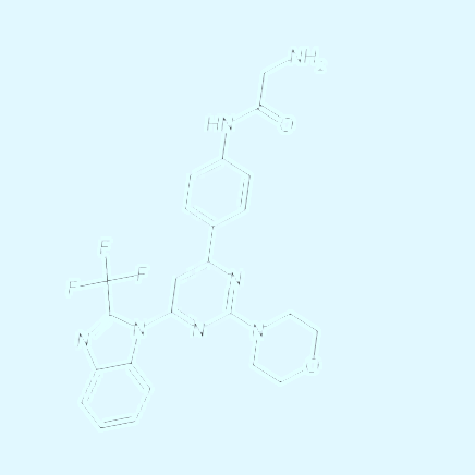 NCC(=O)Nc1ccc(-c2cc(-n3c(C(F)(F)F)nc4ccccc43)nc(N3CCOCC3)n2)cc1